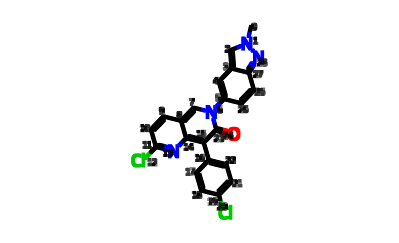 Cn1cc2cc(-n3cc4ccc(Cl)nc4c(-c4ccc(Cl)cc4)c3=O)ccc2n1